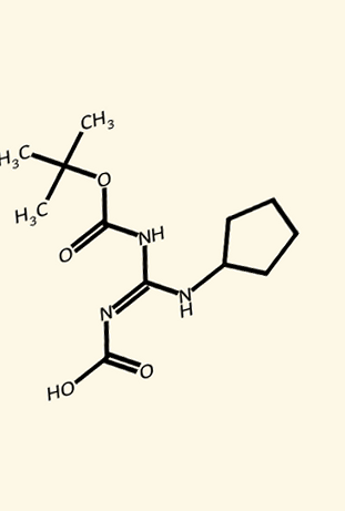 CC(C)(C)OC(=O)N/C(=N/C(=O)O)NC1CCCC1